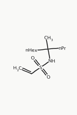 C=CS(=O)(=O)NC(C)(CCC)CCCCCC